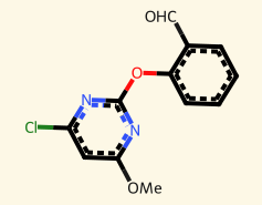 COc1cc(Cl)nc(Oc2ccccc2C=O)n1